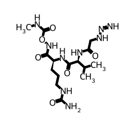 CNC(=O)ONC(=O)[C@H](CCCNC(N)=O)NC(=O)[C@@H](NC(=O)CNN=N)C(C)C